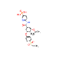 CCS(=O)(=O)c1ccc(Oc2cc(OC(C)C)cc(C(=O)Nc3ccc(P(=O)(O)O)cn3)c2)cc1